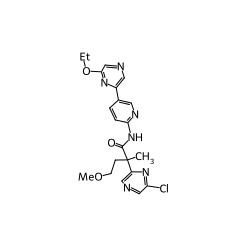 CCOc1cncc(-c2ccc(NC(=O)C(C)(CCOC)c3cncc(Cl)n3)nc2)n1